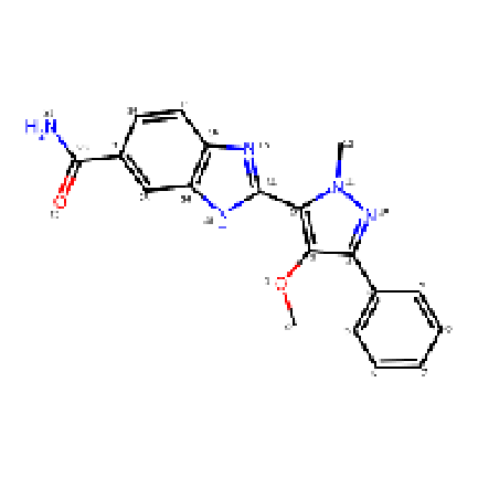 COc1c(-c2ccccc2)nn(C)c1-c1nc2ccc(C(N)=O)cc2[nH]1